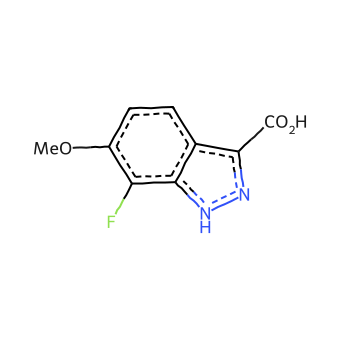 COc1ccc2c(C(=O)O)n[nH]c2c1F